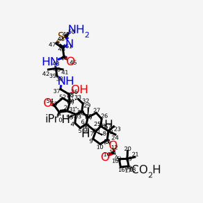 CC(C)C1=C2[C@H]3CC[C@@H]4[C@@]5(C)CC[C@H](OC(=O)[C@H]6C[C@@H](C(=O)O)C6(C)C)C(C)(C)[C@@H]5CC[C@@]4(C)[C@]3(C)CC[C@@]2([C@@H](O)CNCC(C)(C)NC(=O)c2csc(N)n2)CC1=O